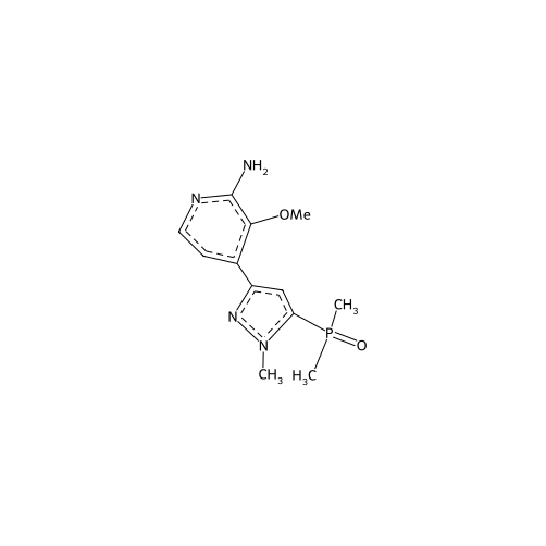 COc1c(-c2cc(P(C)(C)=O)n(C)n2)ccnc1N